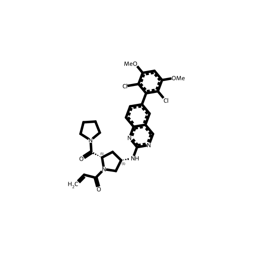 C=CC(=O)N1C[C@@H](Nc2ncc3cc(-c4c(Cl)c(OC)cc(OC)c4Cl)ccc3n2)C[C@H]1C(=O)N1CCCC1